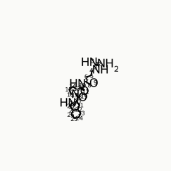 N=C(N)NCCC[C@@H](C=O)NC(=O)[C@@H]1CCCN1C(=O)C1CC2CCCCC2CN1